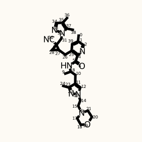 Cc1cnc(C(=O)NC(C)Cc2cn(CCN3CCOCC3)nc2C)c(CC2CC2(C#N)Cn2ncc(C)c2C)c1